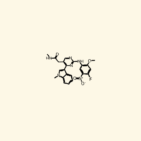 CNC(=O)Cc1cnc(Nc2cc([N+](=O)[O-])c(F)cc2OC)nc1-c1cn(C)c2ccccc12